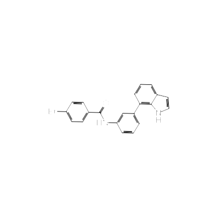 CCc1ccc(C(=O)Nc2cccc(-c3cccc4cc[nH]c34)c2)cc1